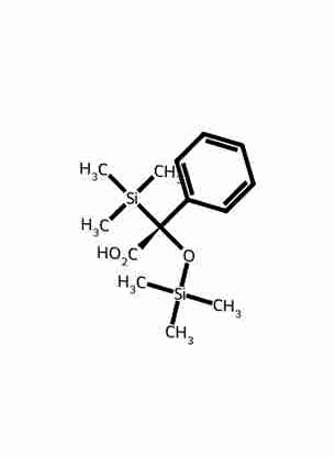 C[Si](C)(C)O[C@@](C(=O)O)(c1ccccc1)[Si](C)(C)C